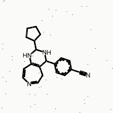 N#Cc1ccc(C2NC(C3CCCC3)NC3=C2CC=NC=C3)cc1